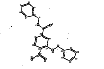 O=C(OCc1ccccc1)c1ccc([N+](=O)[O-])c(OCc2ccccc2)c1